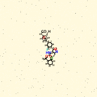 Cc1noc(-c2ccc(C34CCC(CC(=O)O)(CC3)OC4)cc2F)c1NC(=O)O[C@H](C)c1ccccc1Cl